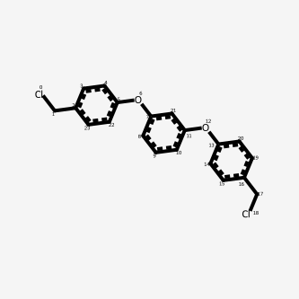 ClCc1ccc(Oc2cccc(Oc3ccc(CCl)cc3)c2)cc1